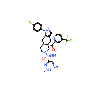 CN/N=C(\C=N)S(=N)(=O)N1CCC2Cc3c(cnn3-c3ccc(F)cc3)C[C@]2(C(=O)c2cc(C(F)(F)F)ccn2)C1